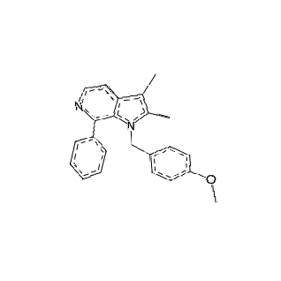 COc1ccc(Cn2c(C)c(C)c3ccnc(-c4ccccc4)c32)cc1